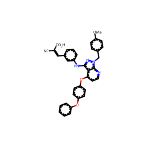 COc1ccc(Cn2nc(Nc3cccc(C=C(C#N)C(=O)O)c3)c3c(Oc4ccc(Oc5ccccc5)cc4)ccnc32)cc1